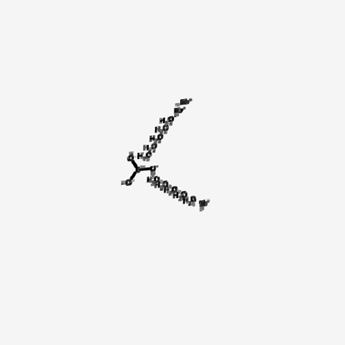 O.O.O.O.O.O.O.O.O.O.[O-]B([O-])[O-].[Rb+].[Rb+].[Rb+]